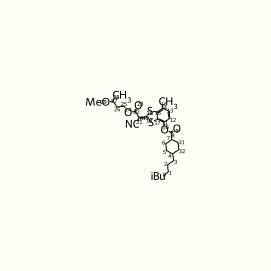 CCC(C)CCCC1CCC(C(=O)Oc2ccc(C)c3c2S/C(=C(\C#N)C(=O)OCCC(C)OC)S3)CC1